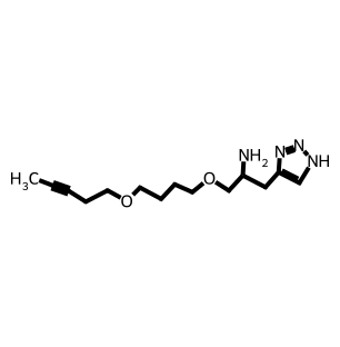 CC#CCCOCCCCOCC(N)Cc1c[nH]nn1